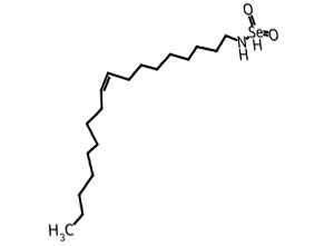 CCCCCCCC/C=C\CCCCCCCCN[SeH](=O)=O